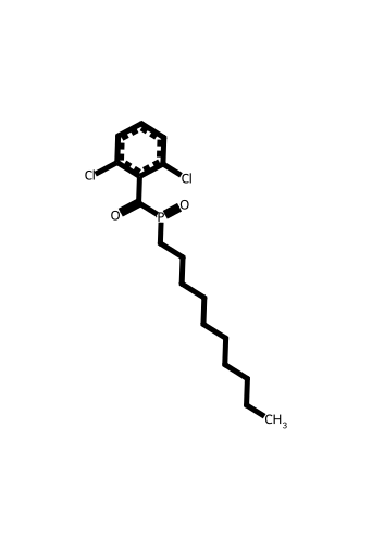 CCCCCCCCCC[P](=O)C(=O)c1c(Cl)cccc1Cl